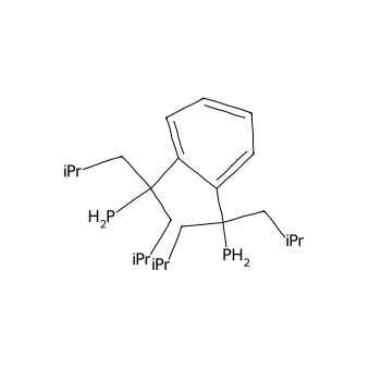 CC(C)CC(P)(CC(C)C)c1ccccc1C(P)(CC(C)C)CC(C)C